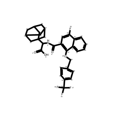 O=C(NC(C(=O)O)C12CC3CC(CC(C3)C1)C2)c1cc(F)c2ccccc2c1OCc1ccc(C(F)(F)F)cc1